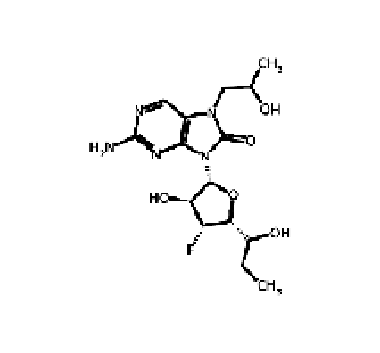 CCC(O)[C@H]1O[C@@H](n2c(=O)n(CC(C)O)c3cnc(N)nc32)[C@H](O)[C@H]1F